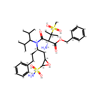 CC(C)C(C(C)C)N(C(=O)[C@](N)(C(=O)OCc1ccccc1)C(C)(C)S(C)(=O)=O)[C@H](CCc1ccccc1)CC1OC1S(N)(=O)=O